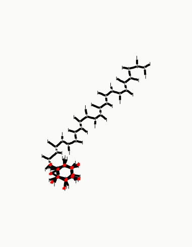 II(I)I(I)I(I)I(I)I(I)I(I)I(I)I(I)I(I)I(I)I(I)I(I)I(I)I(I)I(I)I(I)I(I)I(I)I(I)I(I)I(I)I(I)I(I)I(I)I(I)I(I)I(I)I(I)I(I)I(I)I(I)I(I)I(I)I(I)I(I)I(I)I(I)I(I)I(I)I(I)I(I)I(I)I(I)I(I)I(I)I(I)I(I)I(I)I